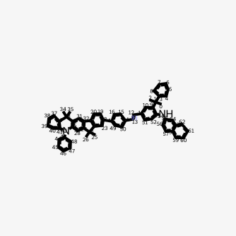 CC(C)(c1ccccc1)c1cc(/C=C/c2ccc(-c3ccc4c(c3)C(C)(C)c3cc5c(cc3-4)C(C)(C)c3ccccc3N5c3ccccc3)cc2)ccc1Nc1ccc2ccccc2c1